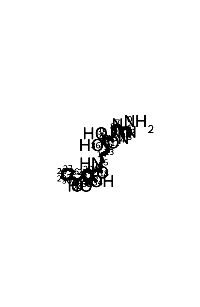 Nc1ncnc2c1ncn2C1OC(C=CCNC(=O)c2ccc(C(=O)C3CCCCC3)c(O)c2O)C(O)[C@H]1O